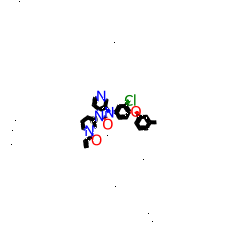 C=CC(=O)N1CCC[C@@H](n2c(=O)n(-c3ccc(Oc4cccc(C)c4)c(Cl)c3)c3cnccc32)C1